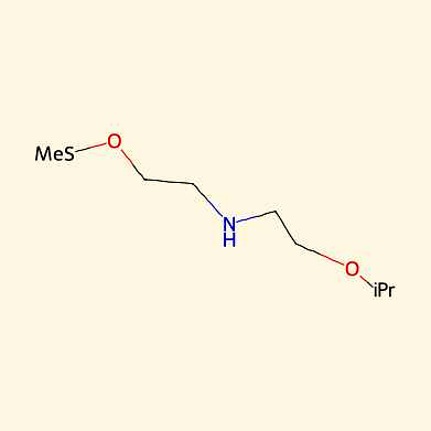 CSOCCNCCOC(C)C